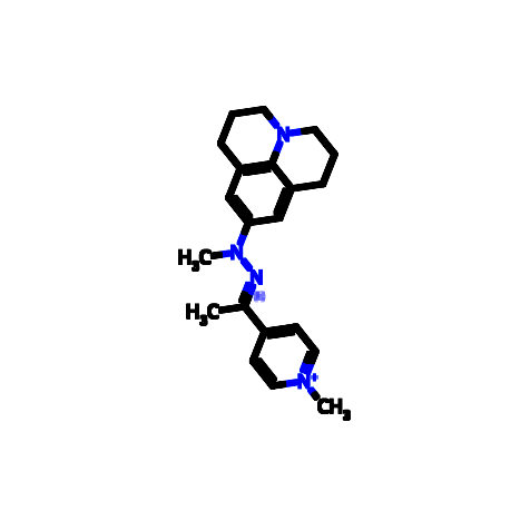 C/C(=N\N(C)c1cc2c3c(c1)CCCN3CCC2)c1cc[n+](C)cc1